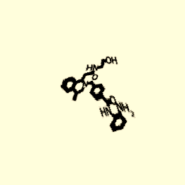 C=C1CN(Cc2ccc(C(=O)Nc3ccccc3N)cc2)C(CC(=O)NCCO)c2ccccc21